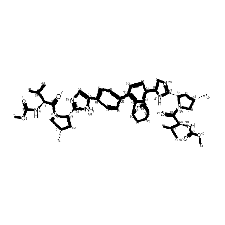 COC(=O)N[C@H](C(=O)N1C[C@@H](C)C[C@H]1c1ncc(-c2ccc(-c3ccc(-c4cnc([C@@H]5C[C@H](C)CN5C(=O)[C@@H](NC(=O)OC)C(C)C)[nH]4)c4c3C3CCC4CC3)cc2)[nH]1)C(C)C